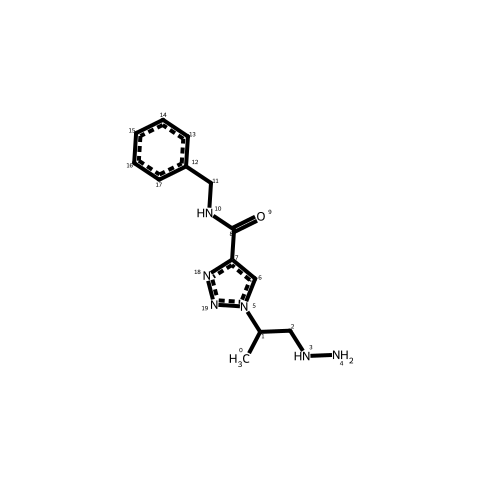 CC(CNN)n1cc(C(=O)NCc2ccccc2)nn1